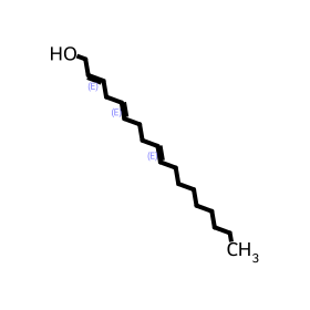 CCCCCCCC/C=C/CC/C=C/C/C=C/CO